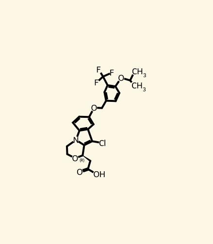 CC(C)Oc1ccc(COc2ccc3c(c2)c(Cl)c2n3CCO[C@@H]2CC(=O)O)cc1C(F)(F)F